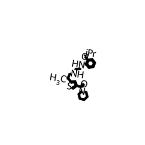 CC(C)Oc1ccccc1NCCNCC(C)c1cc(C(=O)N2CCCCC2)cs1